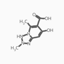 CC1=C(C(=O)O)C(O)=CC2=NN(C)NN21